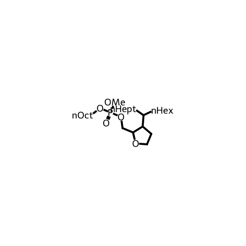 CCCCCCCCOP(=O)(OC)OCC1OCCC1C(CCCCCC)CCCCCCC